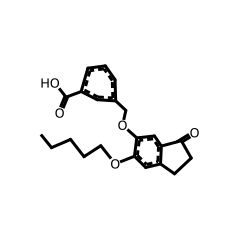 CCCCCOc1cc2c(cc1OCc1cccc(C(=O)O)c1)C(=O)CC2